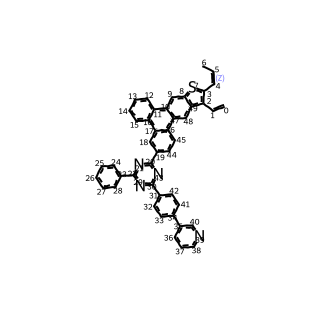 C=Cc1c(/C=C\C)sc2cc3c4ccccc4c4cc(-c5nc(-c6ccccc6)nc(-c6ccc(-c7cccnc7)cc6)n5)ccc4c3cc12